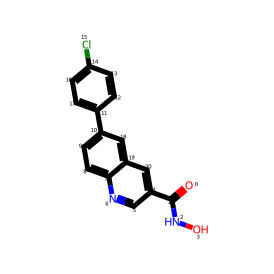 O=C(NO)c1cnc2ccc(-c3ccc(Cl)cc3)cc2c1